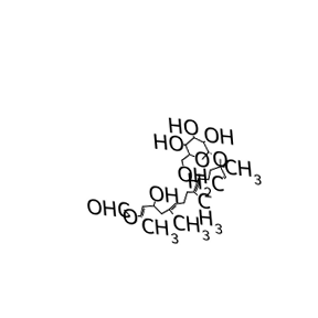 C=C[C@](C)(CC/C=C(\C)CC/C=C(\C)CC(O)/C=C(\C)OC=O)O[C@@H]1OC(CO)[C@@H](O)[C@H](O)C1O